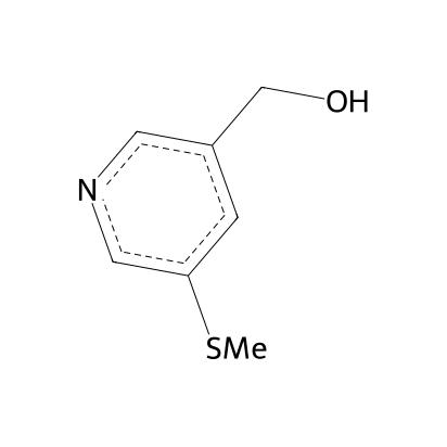 CSc1cncc(CO)c1